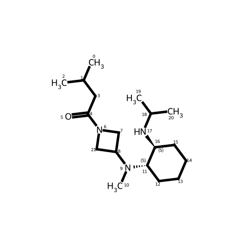 CC(C)CC(=O)N1CC(N(C)[C@H]2CCCC[C@@H]2NC(C)C)C1